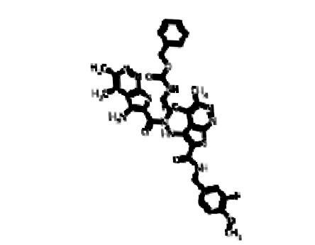 COc1ccc(CNC(=O)c2sc3nnc(C)c(C)c3c2NN(CCNC(=O)OCc2ccccc2)C(=O)c2sc3nnc(C)c(C)c3c2N)cc1F